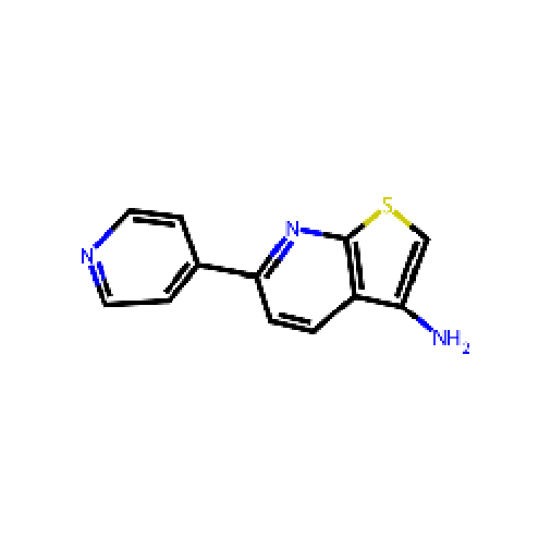 Nc1csc2nc(-c3ccncc3)ccc12